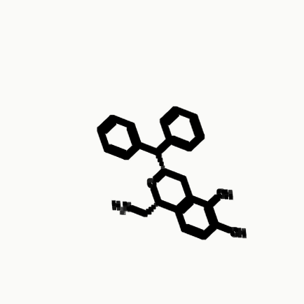 NC[C@@H]1O[C@H](C(c2ccccc2)c2ccccc2)Cc2c1ccc(O)c2O